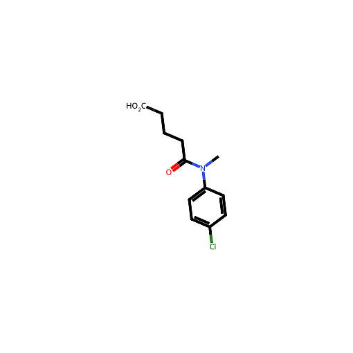 CN(C(=O)CCCC(=O)O)c1ccc(Cl)cc1